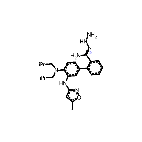 Cc1cc(Nc2cc(-c3ccccc3/C(N)=N/NN)ccc2N(CC(C)C)CC(C)C)no1